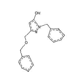 Oc1cc(COCc2ccccc2)nn1Cc1ccccc1